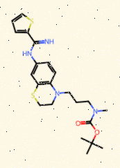 CN(CCCN1CCSc2cc(NC(=N)c3cccs3)ccc21)C(=O)OC(C)(C)C